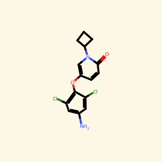 Nc1cc(Cl)c(Oc2ccc(=O)n(C3CCC3)c2)c(Cl)c1